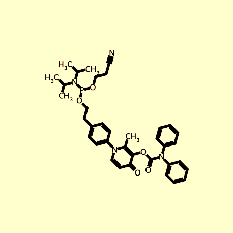 Cc1c(OC(=O)N(c2ccccc2)c2ccccc2)c(=O)ccn1-c1ccc(CCOP(OCCC#N)N(C(C)C)C(C)C)cc1